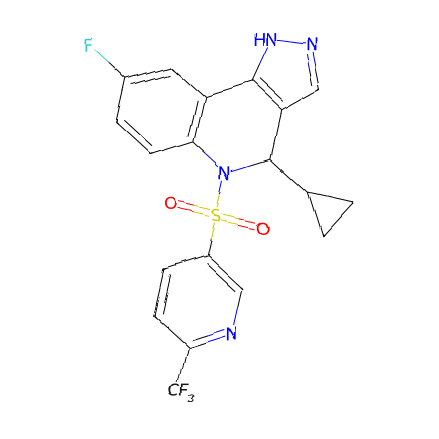 O=S(=O)(c1ccc(C(F)(F)F)nc1)N1c2ccc(F)cc2-c2[nH]ncc2C1C1CC1